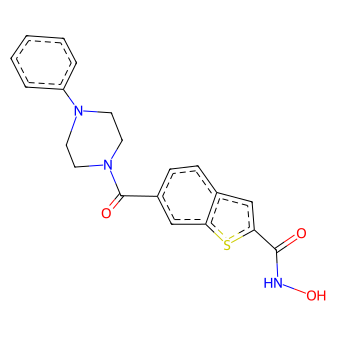 O=C(NO)c1cc2ccc(C(=O)N3CCN(c4ccccc4)CC3)cc2s1